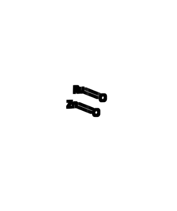 [O]=[Ru].[O]=[Zn]